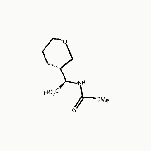 COC(=O)N[C@@H](C(=O)O)[C@@H]1CCCOC1